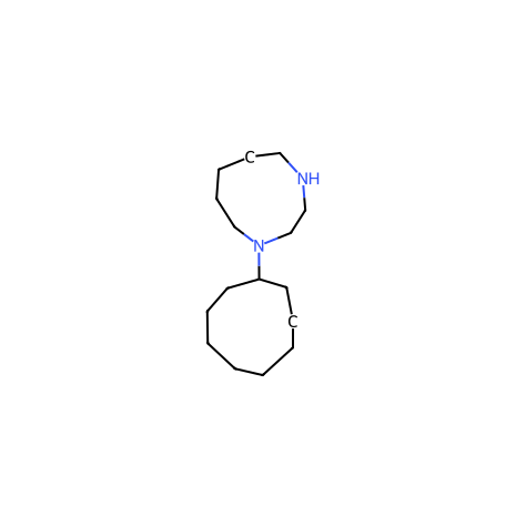 C1CCCCC(N2CCCCCNCC2)CCC1